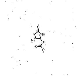 O=C1CCC(OC(=O)[O-])N1.[Na+]